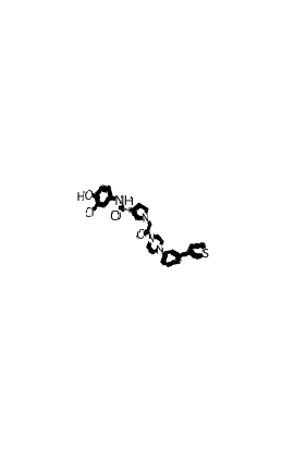 O=C(Nc1ccc(O)c(Cl)c1)[C@@H]1CCN(CC(=O)N2CCN(c3cccc(-c4ccsc4)c3)CC2)C1